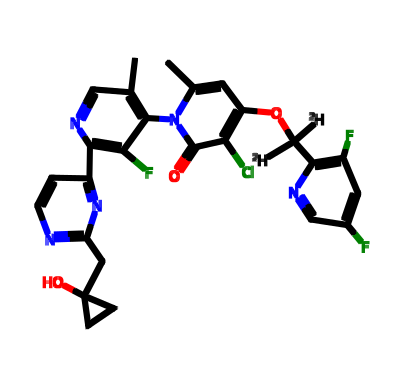 [2H]C([2H])(Oc1cc(C)n(-c2c(C)cnc(-c3ccnc(CC4(O)CC4)n3)c2F)c(=O)c1Cl)c1ncc(F)cc1F